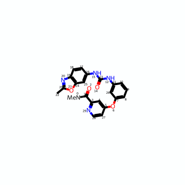 CNC(=O)c1cc(Oc2cccc(NC(=O)Nc3ccc4nc(C)oc4c3)c2)ccn1